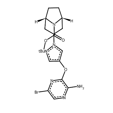 CC(C)(C)OC(=O)N1[C@@H]2CC[C@H]1CC(n1cc(Oc3nc(Br)cnc3N)cn1)C2